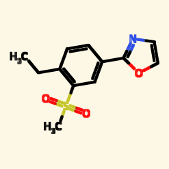 CCc1ccc(-c2ncco2)cc1S(C)(=O)=O